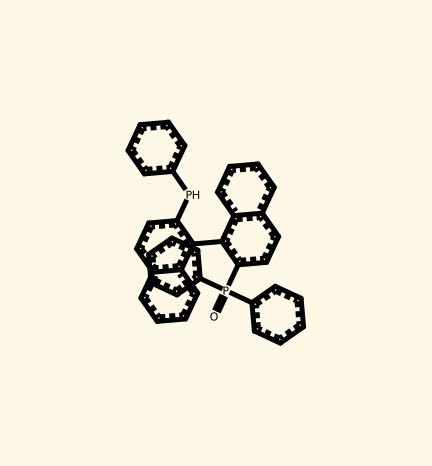 O=P(c1ccccc1)(c1ccccc1)c1ccc2ccccc2c1-c1c(Pc2ccccc2)ccc2ccccc12